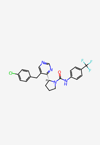 O=C(Nc1ccc(C(F)(F)F)cc1)N1CCC[C@@H]1c1ncncc1Cc1ccc(Cl)cc1